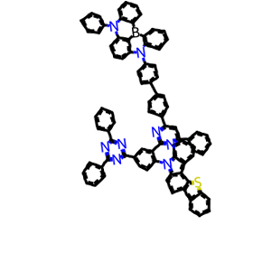 c1ccc(-c2cc(-c3ccc(-c4ccc(N5c6ccccc6B6c7ccccc7N(c7ccccc7)c7cccc5c76)cc4)cc3)nc(-c3cc(-c4nc(-c5ccccc5)nc(-c5ccccc5)n4)ccc3-n3c4ccccc4c4c5sc6ccccc6c5ccc43)n2)cc1